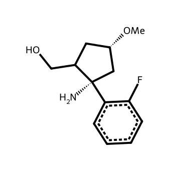 CO[C@H]1CC(CO)[C@](N)(c2ccccc2F)C1